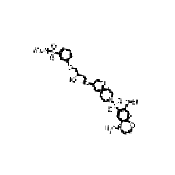 CCOc1nc2c(cc1S(=O)(=O)N1CCC3(CC1)CC(NC[C@H](O)COc1cccc(S(=O)(=O)NC)c1)CO3)N(C)CCO2